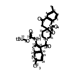 Cc1ccc2c(c1)C(=O)CC1(CCN(C(=O)c3c(NC(=O)OC(C)(C)C)sc4nc(C(F)(F)F)ccc34)CC1)S2(=O)=O